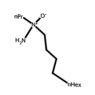 CCCCCCCCCC[N+](N)([O-])CCC